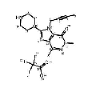 CC#CCn1c(N2CCNCC2)nc2c(C)nn(C)c(=O)c21.O=C(O)C(F)(F)F